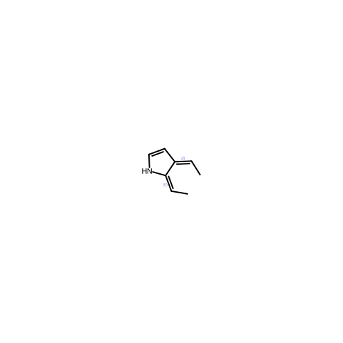 C/C=c1/cc[nH]/c1=C/C